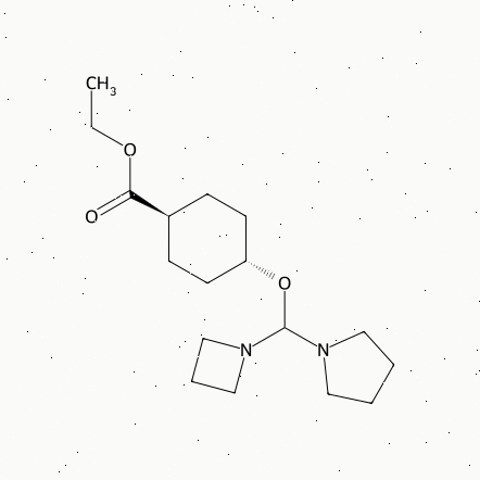 CCOC(=O)[C@H]1CC[C@H](OC(N2CCCC2)N2CCC2)CC1